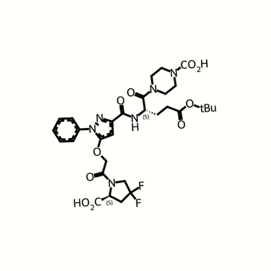 CC(C)(C)OC(=O)CC[C@H](NC(=O)c1cc(OCC(=O)N2CC(F)(F)C[C@H]2C(=O)O)n(-c2ccccc2)n1)C(=O)N1CCN(C(=O)O)CC1